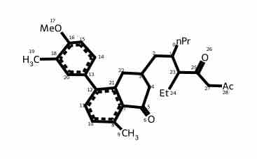 CCCC(CC1CC(=O)c2c(C)ccc(-c3ccc(OC)c(C)c3)c2C1)C(CC)C(=O)CC(C)=O